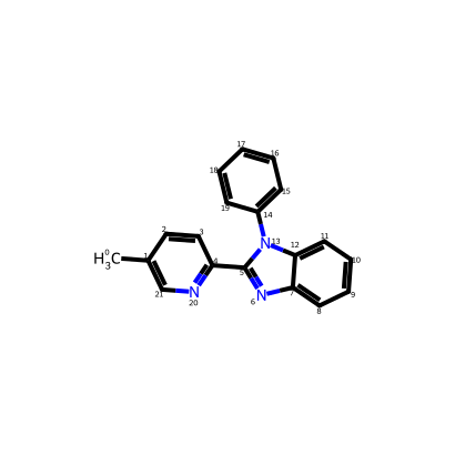 Cc1ccc(-c2nc3ccccc3n2-c2ccccc2)nc1